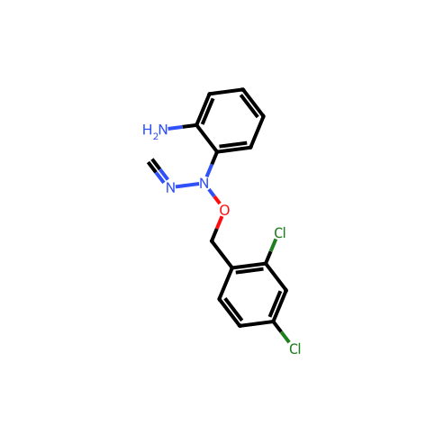 C=NN(OCc1ccc(Cl)cc1Cl)c1ccccc1N